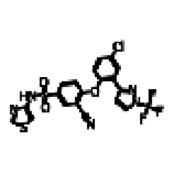 N#Cc1cc(S(=O)(=O)Nc2cscn2)ccc1Oc1ccc(Cl)cc1-c1ccn(C(F)(F)F)n1